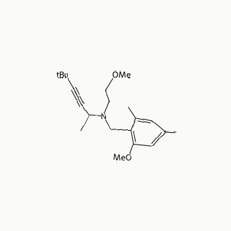 COCCN(Cc1c(C)cc(C)cc1OC)C(C)C#CC(C)(C)C